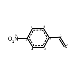 [C]=Cc1ccc([N+](=O)[O-])cc1